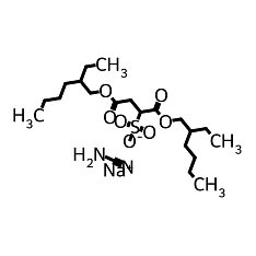 CCCCC(CC)COC(=O)CC(C(=O)OCC(CC)CCCC)S(=O)(=O)[O-].N#CN.[Na+]